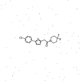 O=C(Cc1ccc(-c2ccc(Cl)cc2)s1)N1CCC(F)(F)CC1